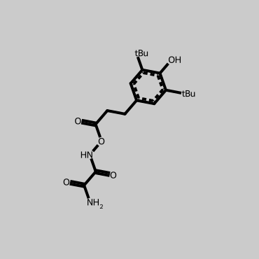 CC(C)(C)c1cc(CCC(=O)ONC(=O)C(N)=O)cc(C(C)(C)C)c1O